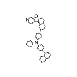 c1ccc(N(c2ccc(-c3ccc4ccc5oc6cnccc6c5c4c3)cc2)c2ccc(-c3cccc4ccccc34)cc2)cc1